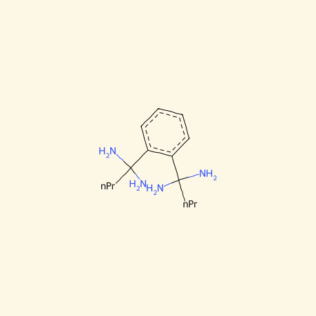 CCCC(N)(N)c1ccccc1C(N)(N)CCC